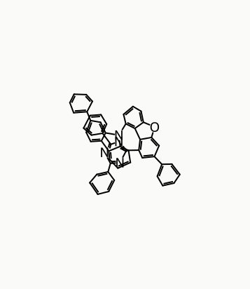 c1ccc(-c2cc(-c3nc(-c4ccccc4)nc(-c4ccccc4)n3)c3c(c2)oc2cccc(-n4c5ccccc5c5ccc(-c6ccccc6)cc54)c23)cc1